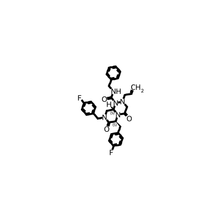 C=CCN1CC(=O)N2[C@@H](Cc3ccc(F)cc3)C(=O)N(Cc3ccc(F)cc3)C[C@@H]2N1C(=O)NCc1ccccc1